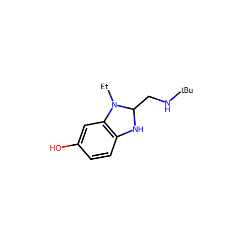 CCN1c2cc(O)ccc2NC1CNC(C)(C)C